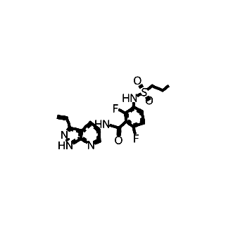 C=Cc1n[nH]c2ncc(NC(=O)c3c(F)ccc(NS(=O)(=O)CCC)c3F)cc12